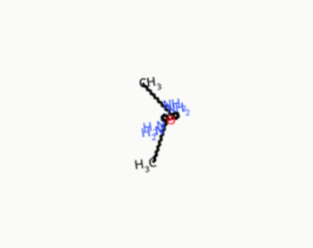 CCCCCCCCCCCCC(N)CC(N)Cc1ccccc1Oc1ccccc1CC(N)CC(N)CCCCCCCCCCCC